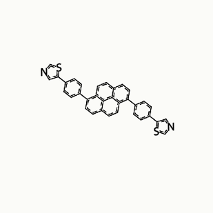 c1ncc(-c2ccc(-c3ccc4ccc5c(-c6ccc(-c7cncs7)cc6)ccc6ccc3c4c65)cc2)s1